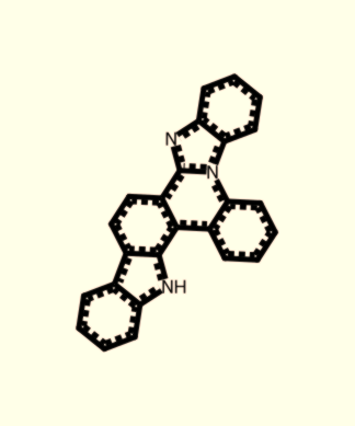 c1ccc2c(c1)nc1c3ccc4c5ccccc5[nH]c4c3c3ccccc3n21